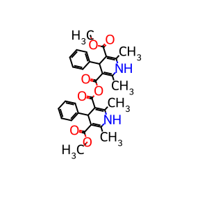 COC(=O)C1=C(C)NC(C)=C(C(=O)OC(=O)C2=C(C)NC(C)=C(C(=O)OC)C2c2ccccc2)C1c1ccccc1